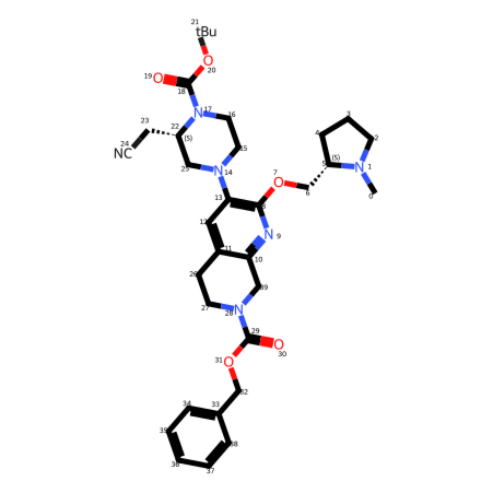 CN1CCC[C@H]1COc1nc2c(cc1N1CCN(C(=O)OC(C)(C)C)[C@@H](CC#N)C1)CCN(C(=O)OCc1ccccc1)C2